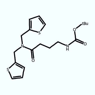 CC(C)(C)OC(=O)NCCCC(=O)N(Cc1cccs1)Cc1cccs1